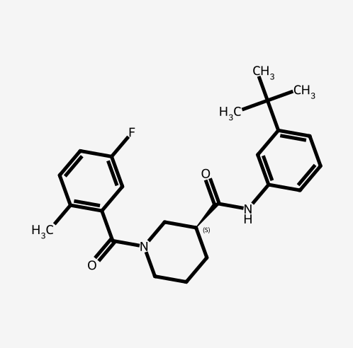 Cc1ccc(F)cc1C(=O)N1CCC[C@H](C(=O)Nc2cccc(C(C)(C)C)c2)C1